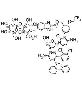 Cc1c(OCC(F)(F)F)ccnc1C[S+]([O-])c1nc2ccccc2[nH]1.Nc1ccn([C@@H]2CS[C@H](CO)O2)c(=O)n1.Nc1nnc(-c2cccc(Cl)c2Cl)c(N)n1.O=C(O)[C@H](O)[C@@H](O)[C@H](O[C@@H]1O[C@H](CO)[C@H](O)[C@H](O)[C@H]1O)[C@H](O)CO.c1ccc(-c2ccccc2)cc1